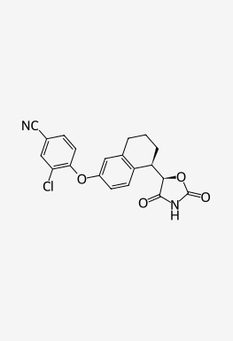 N#Cc1ccc(Oc2ccc3c(c2)CCC[C@H]3[C@H]2OC(=O)NC2=O)c(Cl)c1